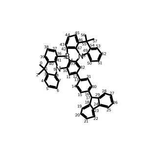 CC1(C)c2ccccc2N2c3cc(-c4ccc(C5c6ccccc6-c6ccccc65)cc4)cc4c3B(c3cccc1c32)c1cccc2c1N4c1ccccc1C2(C)C